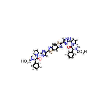 CN(C(=O)O)[C@@H](C(=O)N1CCC[C@H]1c1nc(-c2nc3cc4sc(-c5c[nH]c([C@@H]6CCCN6C(=O)[C@@H](c6ccccc6)N(C)C(=O)O)n5)nc4cc3s2)c[nH]1)c1ccccc1